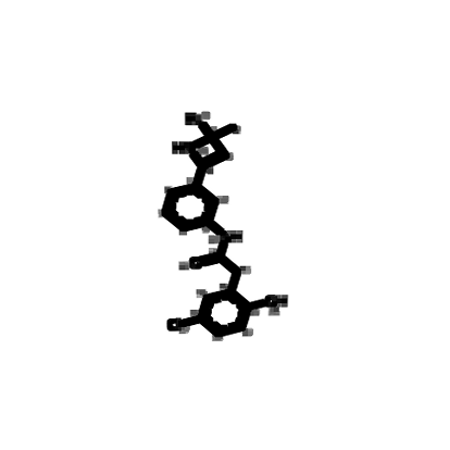 CCC1(C)C=C(c2cccc(NC(=O)Cc3cc(Cl)ccc3O)c2)N1